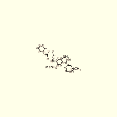 C=N/C=C(\C=N/CCC)C(=N)c1cc(CNC)c(NC2CCCN(Cc3ccccc3)C2)cc1N